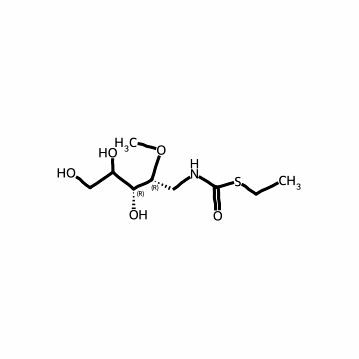 CCSC(=O)NC[C@@H](OC)[C@H](O)C(O)CO